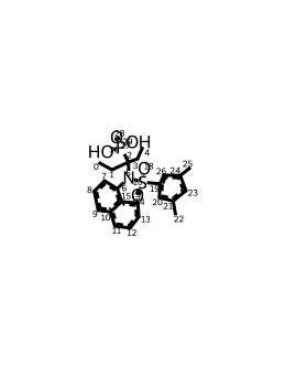 CCC(CC)(N(c1cccc2ccccc12)S(=O)(=O)c1cc(C)cc(C)c1)P(=O)(O)O